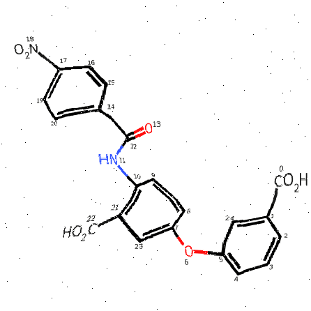 O=C(O)c1cccc(Oc2ccc(NC(=O)c3ccc([N+](=O)[O-])cc3)c(C(=O)O)c2)c1